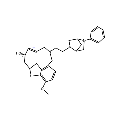 COc1ccc2c3c1OC(C3)C[C@@H](O)/C=C/CN(CCN1CC3CC1CN3c1ccccc1)C2